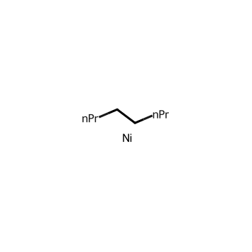 C[CH]CCCCCC.[Ni]